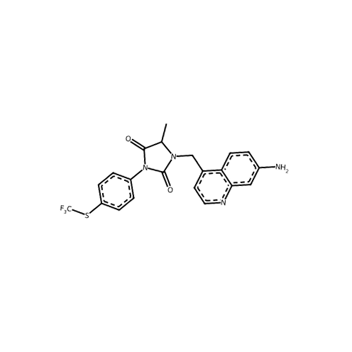 CC1C(=O)N(c2ccc(SC(F)(F)F)cc2)C(=O)N1Cc1ccnc2cc(N)ccc12